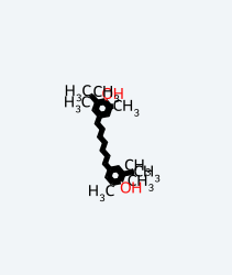 Cc1cc(CCCCCCCc2cc(C)c(O)c(C(C)(C)C)c2)cc(C(C)(C)C)c1O